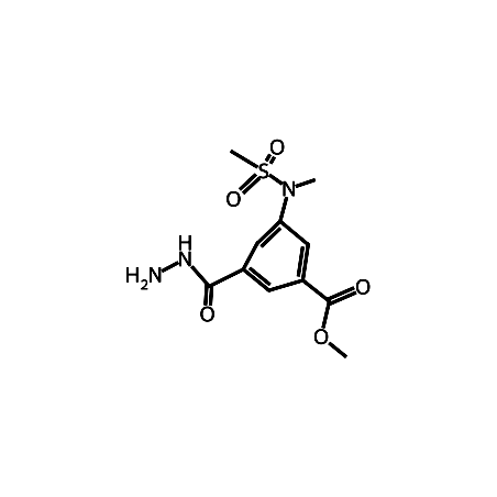 COC(=O)c1cc(C(=O)NN)cc(N(C)S(C)(=O)=O)c1